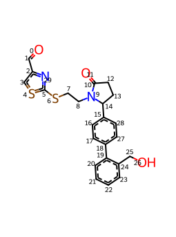 O=Cc1csc(SCCN2C(=O)CCC2c2ccc(-c3ccccc3CO)cc2)n1